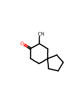 N#CC1CC2(CCCC2)CCC1=O